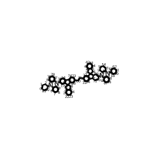 C1=CCC(N2c3ccccc3N(c3ccc4c(c3)C3(Cc5ccccc5C3)c3cc(/C=C/c5ccc6c(c5)C5(Cc7ccccc7C5)C5C=C(N7C8=C(C=CCC8)N(c8ccccc8)c8ccccc87)C=CC65)ccc3-4)c3ccccc32)C=C1